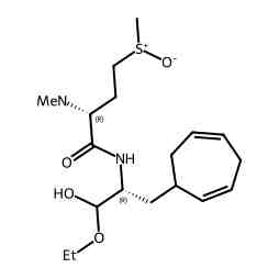 CCOC(O)[C@@H](CC1C=CCC=CC1)NC(=O)[C@@H](CC[S+](C)[O-])NC